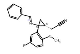 COc1ccc(F)cc1[C@@]1(/N=C/c2ccccc2)C[C@@H]1CC#N